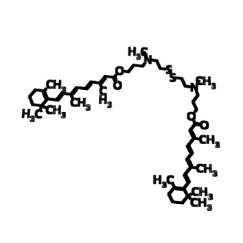 CC1=C(/C=C/C(C)=C/C=C/C(C)=C/C(=O)OCCCN(C)CCSSCCN(C)CCCOC(=O)/C=C(C)/C=C/C=C(C)/C=C/C2=C(C)CCCC2(C)C)C(C)(C)CCC1